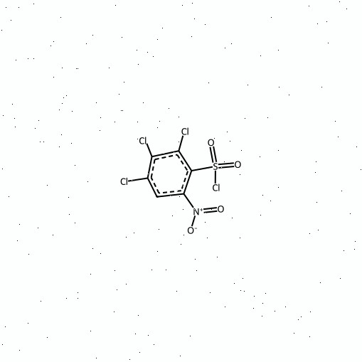 O=[N+]([O-])c1cc(Cl)c(Cl)c(Cl)c1S(=O)(=O)Cl